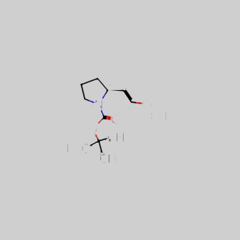 CO/C=C/[C@@H]1CCCN1C(=O)OC(C)(C)C